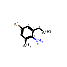 Cc1cc(Br)cc(CC=O)c1N